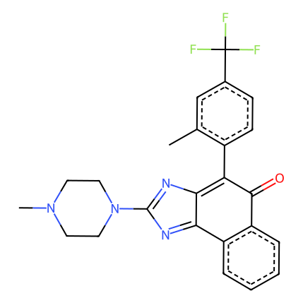 Cc1cc(C(F)(F)F)ccc1C1=C2N=C(N3CCN(C)CC3)N=C2c2ccccc2C1=O